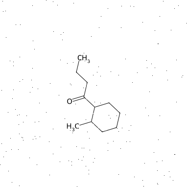 CCCC(=O)C1CCCCC1C